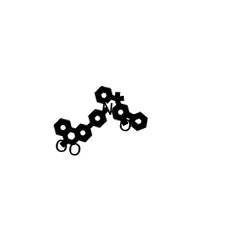 CC1(C)c2ccccc2N(c2ccc(-c3ccc4c(c3)-c3ccccc3C(=O)C4=O)cc2)c2cc3oc4ccccc4c3cc21